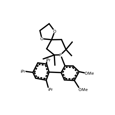 COc1cc(-c2c(C(C)C)cc(C(C)C)cc2C(C)C)c(P2C(C)(C)CC3(CC2(C)C)OCCO3)cc1OC